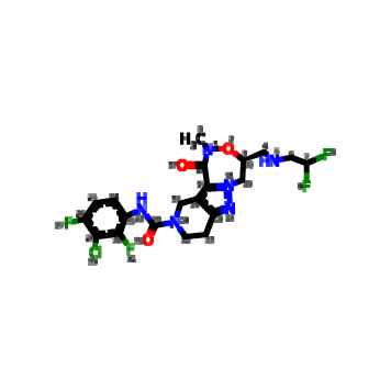 CN1O[C@@H](CNCC(F)F)Cn2nc3c(c2C1=O)CN(C(=O)Nc1ccc(F)c(Cl)c1F)CC3